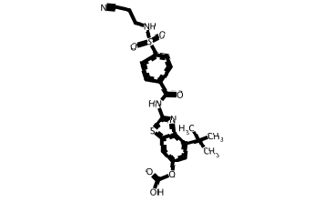 CC(C)(C)c1cc(OC(=O)O)cc2sc(NC(=O)c3ccc(S(=O)(=O)NCCC#N)cc3)nc12